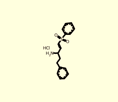 Cl.NC(C=CS(=O)(=O)c1ccccc1)CCc1ccccc1